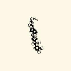 CCOC(=O)Cn1ccc2c(Oc3ccc(NC(=O)c4ccc(Cl)c(Cl)c4)cn3)cccc21